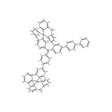 c1ccc(-c2ccc(-c3ccc(N(c4ccc(-c5ccc6c(c5)-c5ccccc5C65c6ccccc6Oc6ccccc65)cc4)c4ccc5c(c4)C4(c6ccccc6Oc6ccccc64)c4ccccc4-5)cc3)cc2)cc1